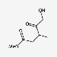 COC(=O)CC(C)C(=O)CO